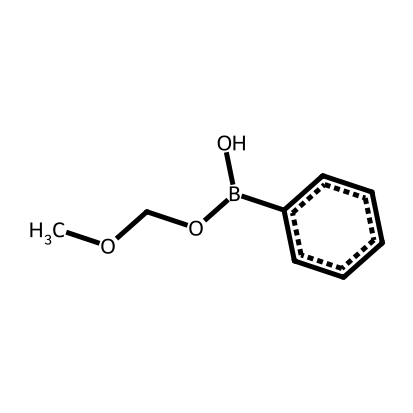 COCOB(O)c1ccccc1